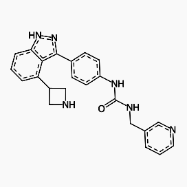 O=C(NCc1cccnc1)Nc1ccc(-c2n[nH]c3cccc(C4CNC4)c23)cc1